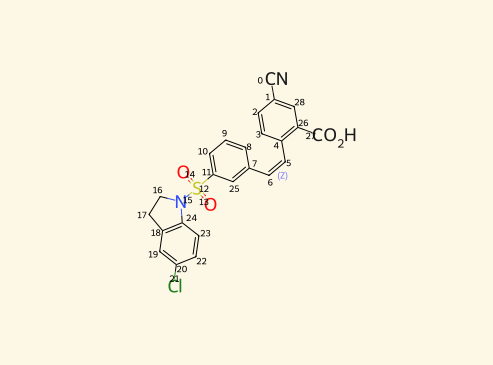 N#Cc1ccc(/C=C\c2cccc(S(=O)(=O)N3CCc4cc(Cl)ccc43)c2)c(C(=O)O)c1